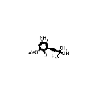 COc1cc(N)cc(C#CC(C)(C)O)c1Cl